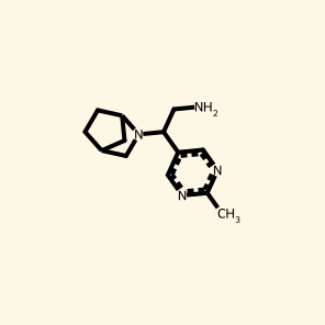 Cc1ncc(C(CN)N2CC3CCC2C3)cn1